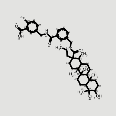 CCCC1(C(=O)NCc2cccc(C(=O)NCc3ccc(F)c(C(=O)O)c3)c2)CC[C@]2(C)C(CCC3C4(C)CCC(O)C(C)(C)C4CCC32C)C1C